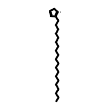 CCCCCCCCCCCCCCCCCCCCC1=[C]CC=C1